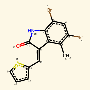 Cc1c(Br)cc(Br)c2c1C(=Cc1cccs1)C(=O)N2